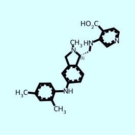 Cc1ccc(Nc2ccc3c(c2)CN(C)[C@@H]3CNc2cnccc2C(=O)O)c(C)c1